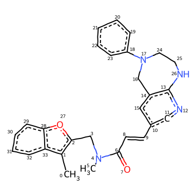 Cc1c(CN(C)C(=O)C=Cc2cnc3c(c2)CN(c2ccccc2)CCN3)oc2ccccc12